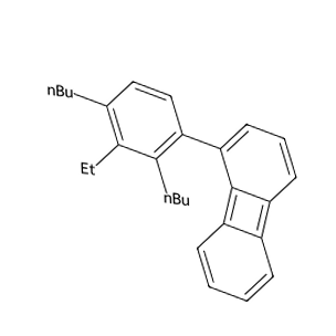 CCCCc1ccc(-c2cccc3c2=c2ccccc2=3)c(CCCC)c1CC